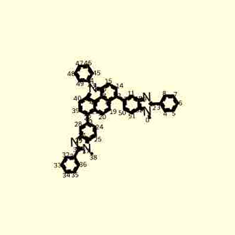 Cn1c(-c2ccccc2)nc2cc(-c3ccc4c5c3ccc3c(-c6ccc7c(c6)nc(-c6ccccc6)n7C)ccc(c35)n4-c3ccccc3)ccc21